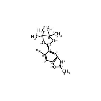 Cc1nc2cc(B3OC(C)(C)C(C)(C)O3)c(F)cc2o1